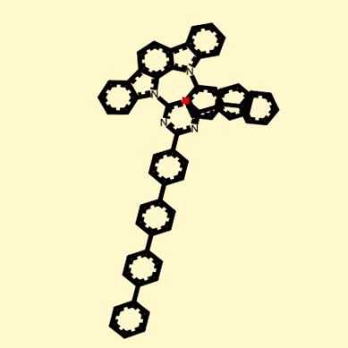 c1ccc(-c2ccc(-c3ccc(-c4ccc(-c5nc(-c6ccccc6)nc(-n6c7ccccc7c7ccc8c9ccccc9n(-c9cccc(-c%10ccccc%10)c9)c8c76)n5)cc4)cc3)cc2)cc1